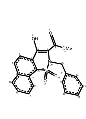 COC(=O)C1=C(O)c2ccc3ccccc3c2S(=O)(=O)N1Cc1ccccc1